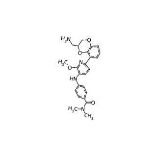 COc1nc(-c2cccc3c2OC(CN)CO3)ccc1Nc1ccc(C(=O)N(C)C)cc1